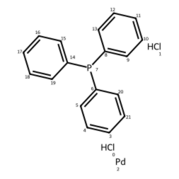 Cl.Cl.[Pd].c1ccc(P(c2ccccc2)c2ccccc2)cc1